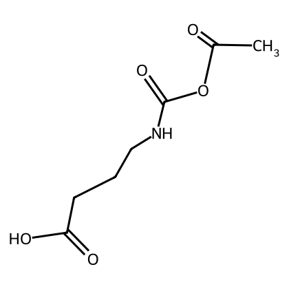 CC(=O)OC(=O)NCCCC(=O)O